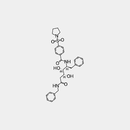 O=C(C[C@@H](O)[C@H](O)[C@H](Cc1ccccc1)NC(=O)c1ccc(S(=O)(=O)N2CCCC2)cc1)NCc1ccccc1